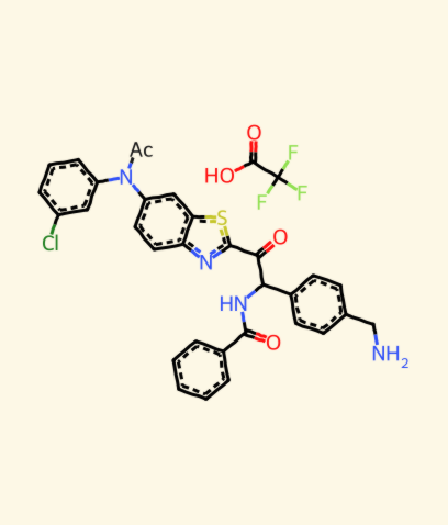 CC(=O)N(c1cccc(Cl)c1)c1ccc2nc(C(=O)C(NC(=O)c3ccccc3)c3ccc(CN)cc3)sc2c1.O=C(O)C(F)(F)F